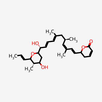 C/C=C/C1OC([C@H](O)/C=C/C=C(\C)C[C@@H](C)/C=C(C)\C=C\C2CC=CC(=O)O2)CC(O)[C@@H]1C